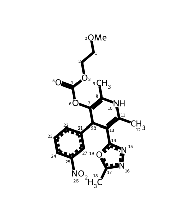 COCCOC(=O)OC1=C(C)NC(C)=C(c2nnc(C)o2)C1c1cccc([N+](=O)[O-])c1